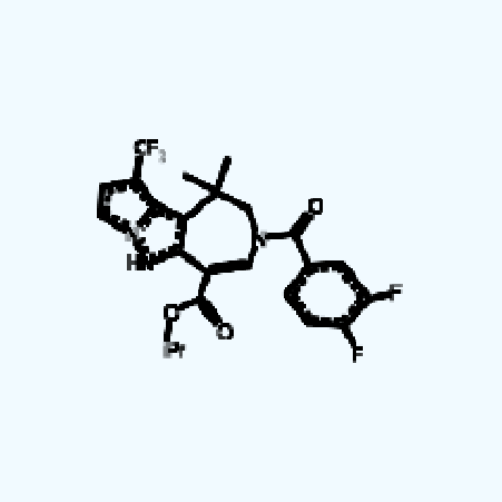 CC(C)OC(=O)C1=CN(C(=O)c2ccc(F)c(F)c2)CC(C)(C)c2c1[nH]n1ccc(C(F)(F)F)c21